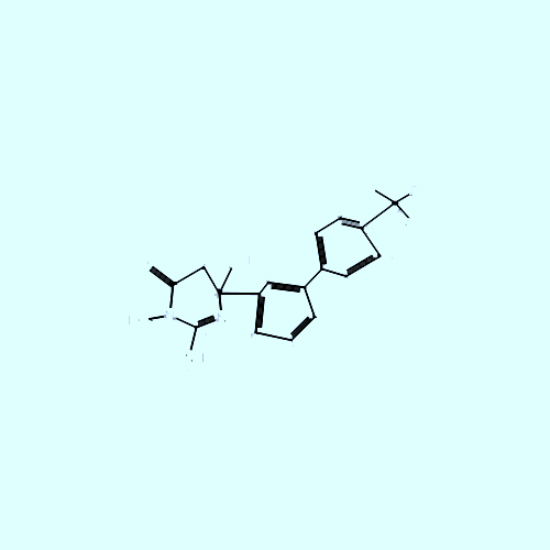 CN1C(=O)CC(C)(c2cccc(-c3ccc(C(F)(F)F)cc3)c2)N=C1N